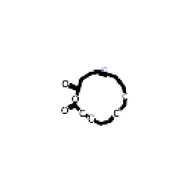 O=C1CC/C=C\CCCCCCCCCC(=O)O1